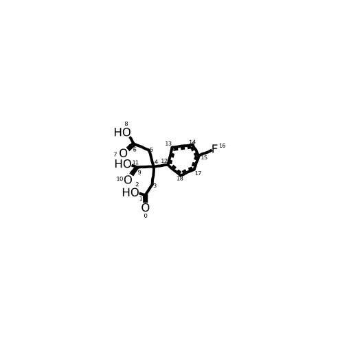 O=C(O)CC(CC(=O)O)(C(=O)O)c1ccc(F)cc1